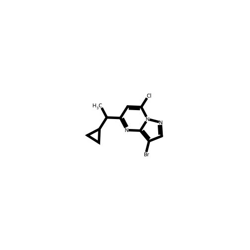 CC(c1cc(Cl)n2ncc(Br)c2n1)C1CC1